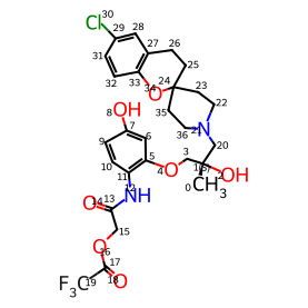 C[C@@](O)(COc1cc(O)ccc1NC(=O)COC(=O)C(F)(F)F)CN1CCC2(CCc3cc(Cl)ccc3O2)CC1